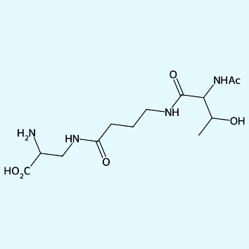 CC(=O)NC(C(=O)NCCCC(=O)NCC(N)C(=O)O)C(C)O